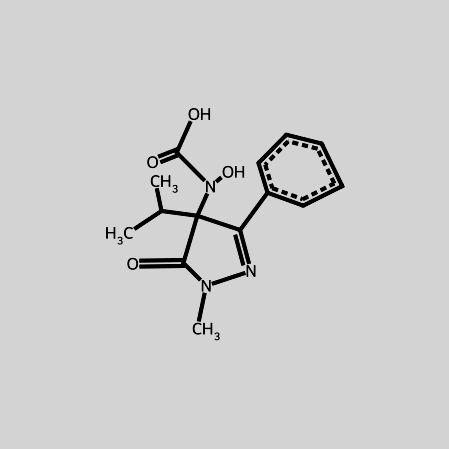 CC(C)C1(N(O)C(=O)O)C(=O)N(C)N=C1c1ccccc1